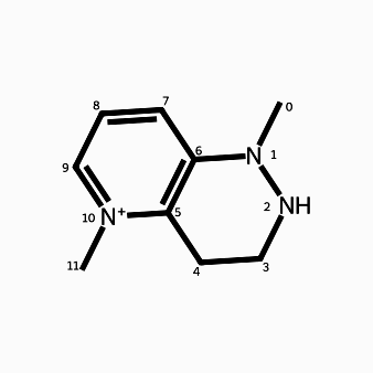 CN1NCCc2c1ccc[n+]2C